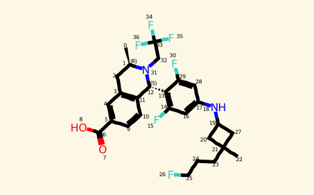 C[C@@H]1Cc2cc(C(=O)O)ccc2[C@@H](c2c(F)cc(NC3CC(C)(CCCF)C3)cc2F)N1CC(F)(F)F